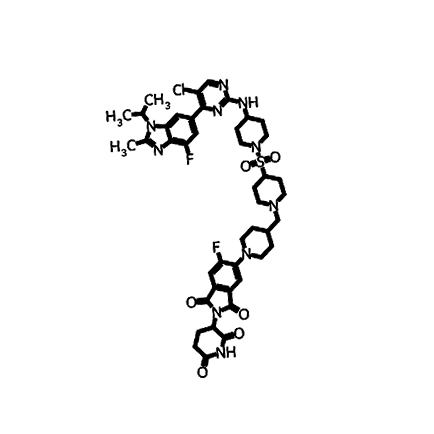 Cc1nc2c(F)cc(-c3nc(NC4CCN(S(=O)(=O)C5CCN(CC6CCN(c7cc8c(cc7F)C(=O)N(C7CCC(=O)NC7=O)C8=O)CC6)CC5)CC4)ncc3Cl)cc2n1C(C)C